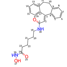 O=C(C=C1c2ccccc2CCc2ccccc21)NCCCCCC(=O)NO